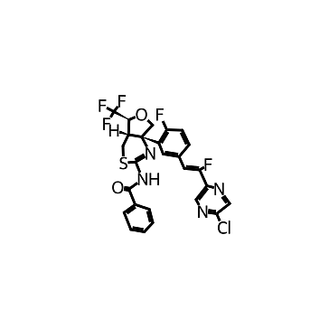 O=C(NC1=N[C@@]2(c3cc(/C=C(\F)c4cnc(Cl)cn4)ccc3F)CO[C@H](C(F)(F)F)[C@H]2CS1)c1ccccc1